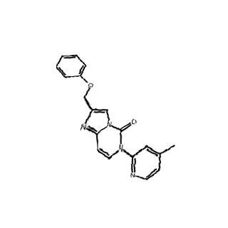 Cc1ccnc(-n2ccc3nc(COc4ccccc4)cn3c2=O)c1